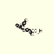 CCOC(Cc1ccc(OCCN(CC2CCCC2)C(=O)Oc2ccc(Cl)cc2)cc1)C(=O)O